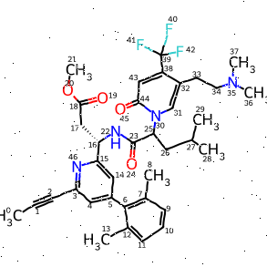 CC#Cc1cc(-c2c(C)cccc2C)cc([C@H](CC(=O)OC)NC(=O)C(CC(C)C)n2cc(CCN(C)C)c(C(F)(F)F)cc2=O)n1